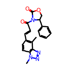 Cc1c(C=CC(=O)N2C(=O)OCC2c2ccccc2)ccc2c1nnn2C